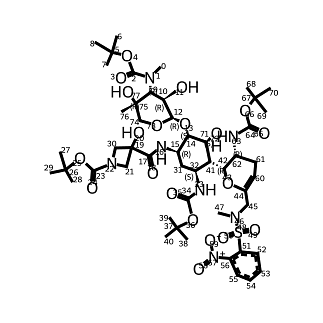 CN(C(=O)OC(C)(C)C)[C@@H]1[C@@H](O)[C@@H](O[C@H]2[C@H](NC(=O)C3(O)CN(C(=O)OC(C)(C)C)C3)C[C@H](NC(=O)OC(C)(C)C)C([C@H]3OC(CN(C)S(=O)(=O)c4ccccc4[N+](=O)[O-])=CC[C@H]3NC(=O)OC(C)(C)C)[C@@H]2O)OC[C@]1(C)O